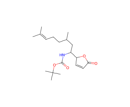 CC(C)=CCCC(C)CC(NC(=O)OC(C)(C)C)C1C=CC(=O)O1